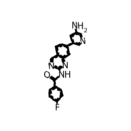 Nc1cncc(-c2ccc3cnc(NC(=O)c4ccc(F)cc4)nc3c2)c1